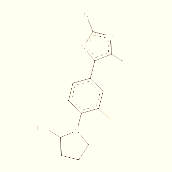 Cc1oc(N)nc1-c1ccc(N2CCCC2C)c(F)c1